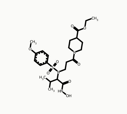 CCOC(=O)C1CCN(C(=O)CCN(C(C(=O)NO)C(C)C)S(=O)(=O)c2ccc(OC)cc2)CC1